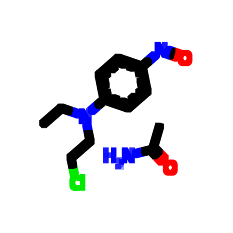 CC(N)=O.CCN(CCCl)c1ccc(N=O)cc1